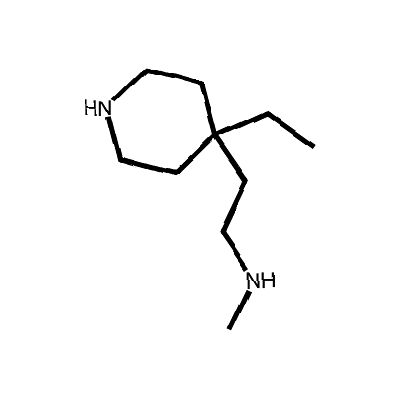 CCC1(CCNC)CCNCC1